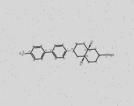 CCCCCCCC1CC[C@@H]2C[C@H](c3ccc(-c4ccc(C(F)(F)F)cc4)cc3)CC[C@@H]2C1